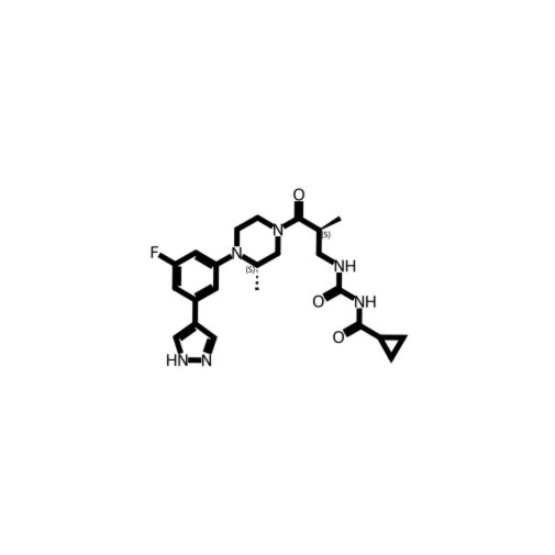 C[C@@H](CNC(=O)NC(=O)C1CC1)C(=O)N1CCN(c2cc(F)cc(-c3cn[nH]c3)c2)[C@@H](C)C1